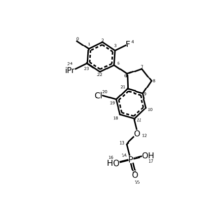 Cc1cc(F)c(C2CCc3cc(OCP(=O)(O)O)cc(Cl)c32)cc1C(C)C